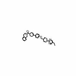 CCc1cnc(N2CCC(COc3ccc(C4=CCC(C(=O)N5CCc6ccccc6C5)CC4)cc3)CC2)nc1